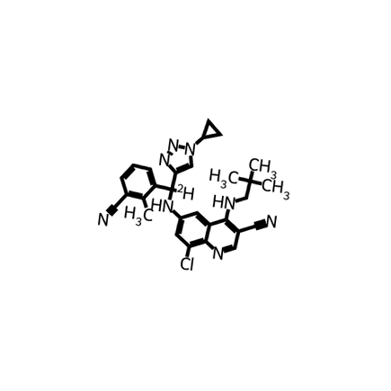 [2H]C(Nc1cc(Cl)c2ncc(C#N)c(NCC(C)(C)C)c2c1)(c1cn(C2CC2)nn1)c1cccc(C#N)c1C